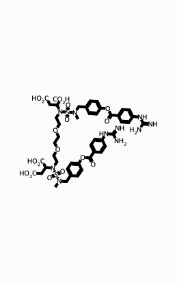 CN(Cc1ccc(OC(=O)c2ccc(NC(=N)N)cc2)cc1)S(=O)(=O)N(CCOCCOCCN(C(CC(=O)O)C(=O)O)S(=O)(=O)N(C)Cc1ccc(OC(=O)c2ccc(NC(=N)N)cc2)cc1)C(CC(=O)O)C(=O)O